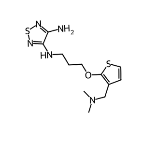 CN(C)Cc1ccsc1OCCCNc1nsnc1N